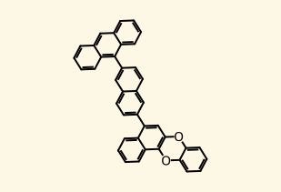 c1ccc2c(c1)Oc1cc(-c3ccc4cc(-c5c6ccccc6cc6ccccc56)ccc4c3)c3ccccc3c1O2